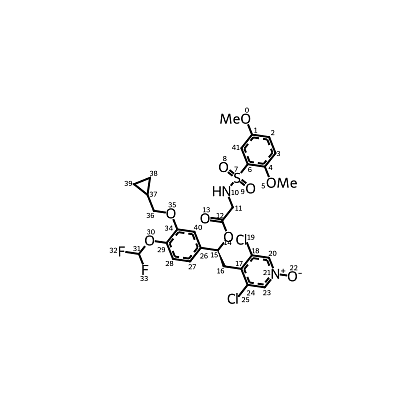 COc1ccc(OC)c(S(=O)(=O)NCC(=O)O[C@@H](Cc2c(Cl)c[n+]([O-])cc2Cl)c2ccc(OC(F)F)c(OCC3CC3)c2)c1